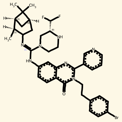 C[C@@H]1C(/N=C(/Nc2ccc3c(=O)n(CCc4ccc(Br)cc4)c(-c4cccnc4)nc3c2)N2CCN[C@@H](C(F)F)C2)C[C@H]2C[C@@H]1C2(C)C